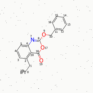 CC(C)Cc1cccc2nc(OCc3ccccc3)oc(=O)c12